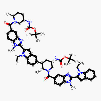 CCn1c(-c2nc3cc(C(=O)N4C[C@@H](NC(=O)OC(C)(C)C)CC(c5ccc6c(c5)cc(-c5nc7cc(C(=O)N8C[C@H](NC(=O)OC(C)(C)C)CC[C@@H]8C)ccc7n5C)n6CC)[C@H]4C)ccc3n2C)cc2ccccc21